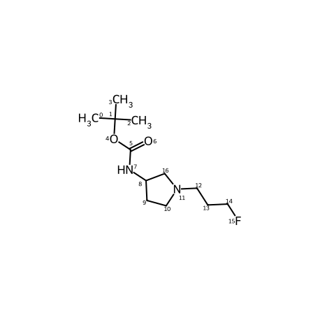 CC(C)(C)OC(=O)NC1CCN(CCCF)C1